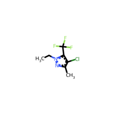 CCn1nc(C)c(Cl)c1C(F)(F)F